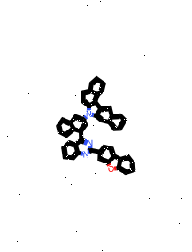 c1ccc2cc3c(cc2c1)c1c2ccccc2ccc1n3-c1cc(-c2nc(-c3ccc4c(c3)oc3ccccc34)nc3ccccc23)c2ccccc2c1